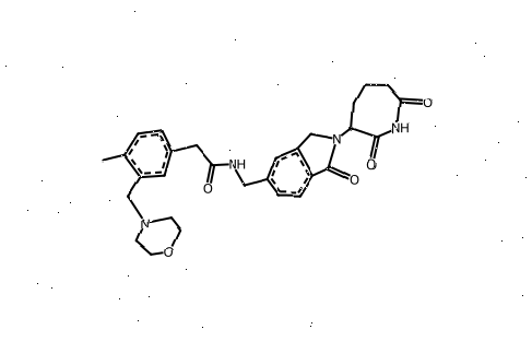 Cc1ccc(CC(=O)NCc2ccc3c(c2)CN(C2CCCC(=O)NC2=O)C3=O)cc1CN1CCOCC1